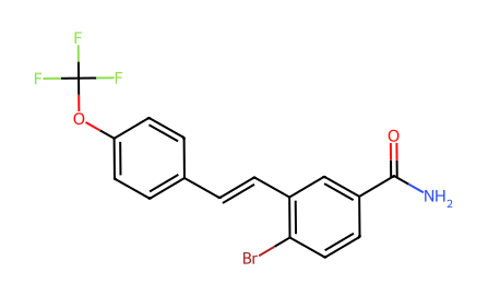 NC(=O)c1ccc(Br)c(/C=C/c2ccc(OC(F)(F)F)cc2)c1